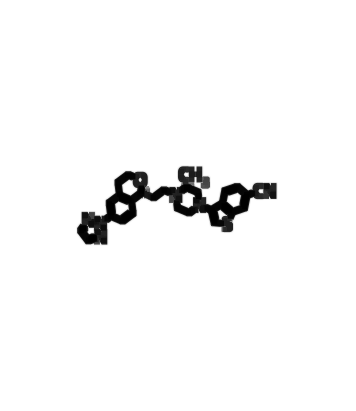 C[C@@H]1CN(c2csc3cc(C#N)ccc23)CCN1CC[C@@H]1OCCc2cc(-n3nccn3)ccc21